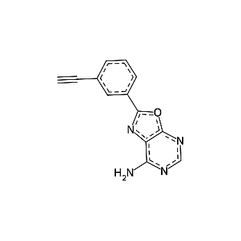 C#Cc1cccc(-c2nc3c(N)ncnc3o2)c1